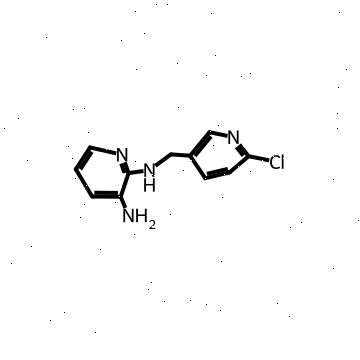 Nc1cccnc1NCc1ccc(Cl)nc1